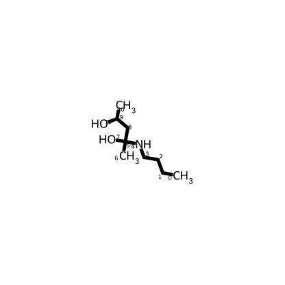 CCCCNC(C)(O)CC(C)O